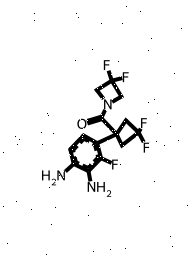 Nc1ccc(C2(C(=O)N3CC(F)(F)C3)CC(F)(F)C2)c(F)c1N